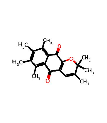 CC1=CC2=C(OC1(C)C)C(=O)c1c(C)c(C)c(C)c(C)c1C2=O